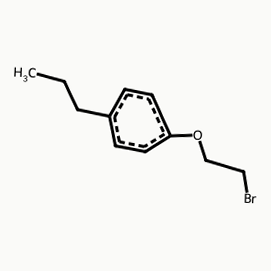 CCCc1ccc(OCCBr)cc1